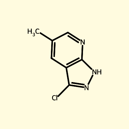 Cc1cnc2[nH]nc(Cl)c2c1